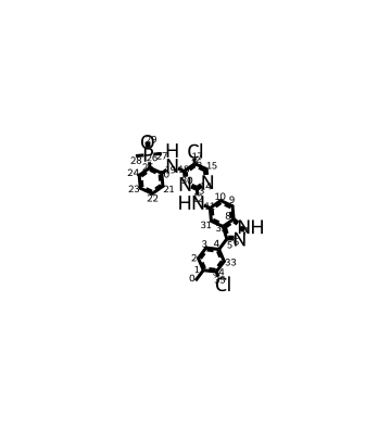 Cc1ccc(-c2n[nH]c3ccc(Nc4ncc(Cl)c(Nc5ccccc5P(C)(C)=O)n4)cc23)cc1Cl